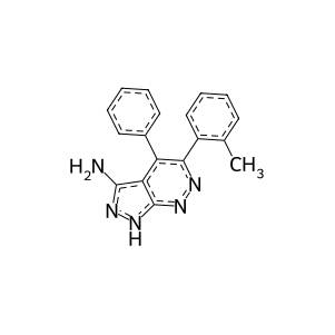 Cc1ccccc1-c1nnc2[nH]nc(N)c2c1-c1ccccc1